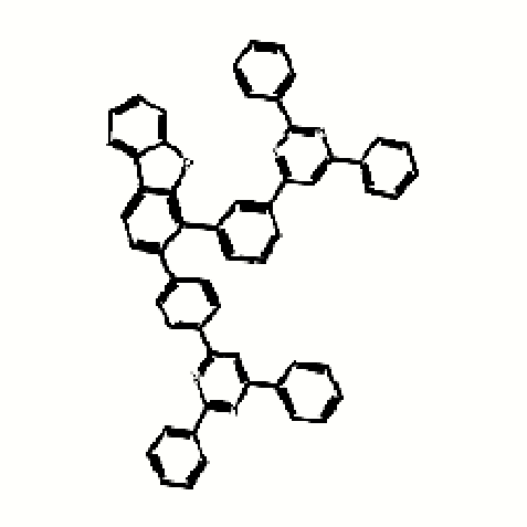 c1ccc(-c2cc(-c3ccc(-c4ccc5c(oc6ccccc65)c4-c4cccc(-c5cc(-c6ccccc6)nc(-c6ccccc6)n5)c4)cc3)nc(-c3ccccc3)n2)cc1